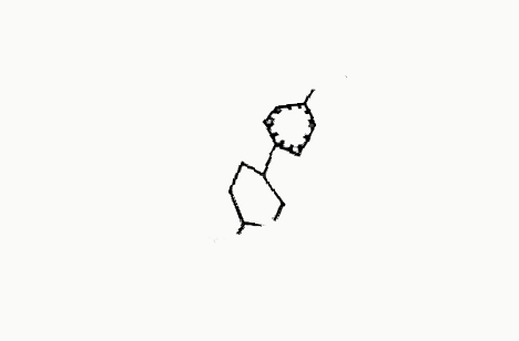 CCCCCCCCC1CCC(c2ccc(CCCCCC)cc2)CO1